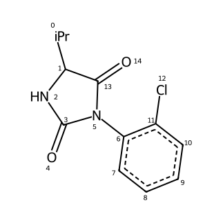 CC(C)C1NC(=O)N(c2ccccc2Cl)C1=O